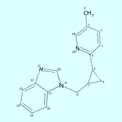 Cc1ccc(C2CC2Cn2cnc3ccccc32)nc1